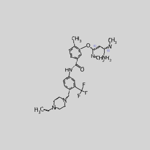 C=N/C(=C\C(N)=N/C)Oc1cc(C(=O)Nc2ccc(CN3CCN(CC)CC3)c(C(F)(F)F)c2)ccc1C